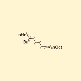 [CH2]CCCCCCCC#CCCCCC(CCCCC[CH2])C(C)CC